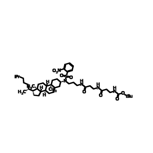 CC(C)CCC[C@@H](C)[C@H]1CC[C@H]2[C@@H]3CC=C4C[C@@H](N(CCCNC(=O)CCNC(=O)CCNC(=O)OC(C)(C)C)S(=O)(=O)c5ccccc5[N+](=O)[O-])CC[C@]4(C)[C@H]3CC[C@]12C